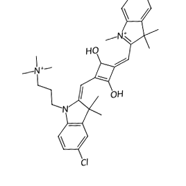 C[N+]1=C(/C=C2C(O)=C(/C=C3/N(CCC[N+](C)(C)C)c4ccc(Cl)cc4C3(C)C)C/2O)C(C)(C)c2ccccc21